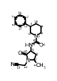 CC1CC(NC(=O)N2CCCC(c3ccccc3)C2)C(=O)N1CC#N